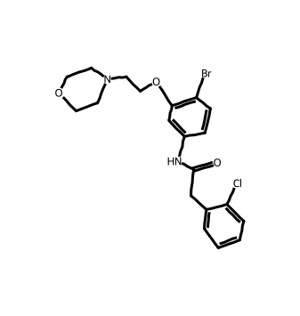 O=C(Cc1ccccc1Cl)Nc1ccc(Br)c(OCCN2CCOCC2)c1